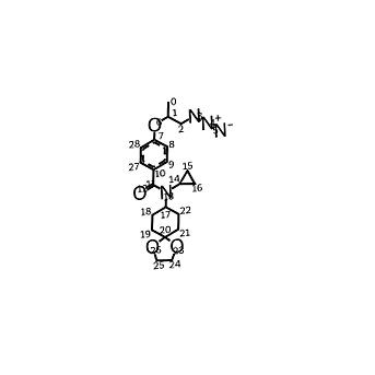 CC(CN=[N+]=[N-])Oc1ccc(C(=O)N(C2CC2)C2CCC3(CC2)OCCO3)cc1